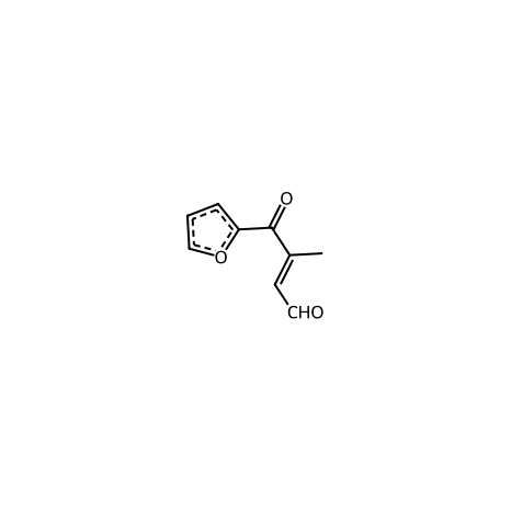 CC(=CC=O)C(=O)c1ccco1